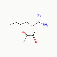 CC(=O)C(C)=O.CCCCCC(N)N